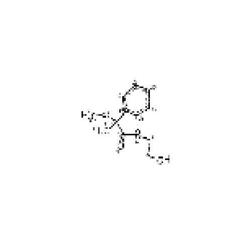 CSC1(C)C(=O)N(CCO)c2ccccc21